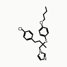 CCCCOc1ccc(SC(C)(CCc2ccc(Cl)cc2)Cn2ccnc2)cc1